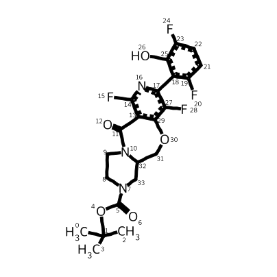 CC(C)(C)OC(=O)N1CCN2C(=O)c3c(F)nc(-c4c(F)ccc(F)c4O)c(F)c3OCC2C1